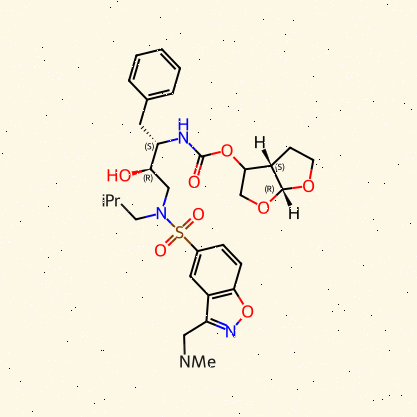 CNCc1noc2ccc(S(=O)(=O)N(CC(C)C)C[C@@H](O)[C@H](Cc3ccccc3)NC(=O)OC3CO[C@H]4OCC[C@@H]34)cc12